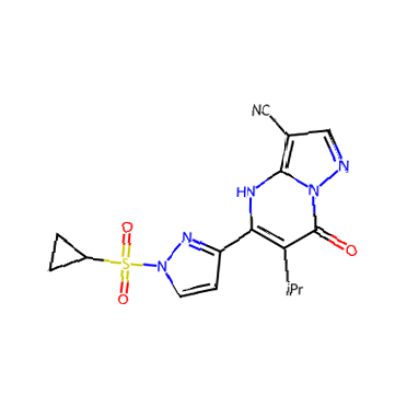 CC(C)c1c(-c2ccn(S(=O)(=O)C3CC3)n2)[nH]c2c(C#N)cnn2c1=O